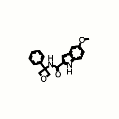 COc1ccc2[nH]c(C(=O)NC3(c4ccccc4)COC3)cc2c1